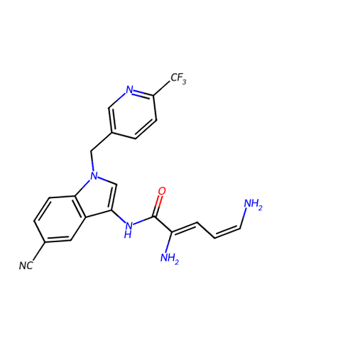 N#Cc1ccc2c(c1)c(NC(=O)/C(N)=C/C=C\N)cn2Cc1ccc(C(F)(F)F)nc1